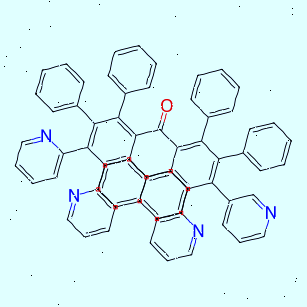 O=C(c1c(-c2ccccc2)c(-c2ccccc2)c(-c2cccnc2)c(-c2ccccn2)c1-c1ccccc1)c1c(-c2ccccc2)c(-c2ccccc2)c(-c2ccccn2)c(-c2ccccn2)c1-c1ccccc1